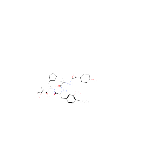 COc1ccc(C[C@H](NC(=O)[C@@H](C)NC2OC2[C@H]2CC[C@H](O)CC2)C(=O)N[C@@H](CC2CCCC2)C(=O)[C@@]2(C)CO2)cc1O